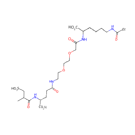 CCC(=O)NCCCCC(NC(=O)COCCOCCNC(=O)CCC(NC(=O)C(C)CS(=O)(=O)O)C(=O)O)C(=O)O